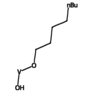 CCCCCCCC[O][V][OH]